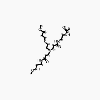 CONCCNC(=O)CCN(CCSCCC(=O)OC)CCC(=O)NCCNC(C)=O